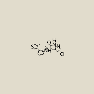 Cc1cscc1-c1cccc(N[C@@H](C)c2cc3cc(Cl)cnc3[nH]c2=O)c1